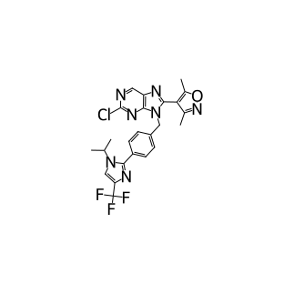 Cc1noc(C)c1-c1nc2cnc(Cl)nc2n1Cc1ccc(-c2nc(C(F)(F)F)cn2C(C)C)cc1